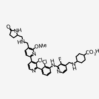 COc1nc(-c2ccnc(-c3cccc(Nc4nccc(CNC5CCC(C(=O)O)CC5)c4F)c3Cl)c2Cl)ccc1CNCC1CCC(=O)N1